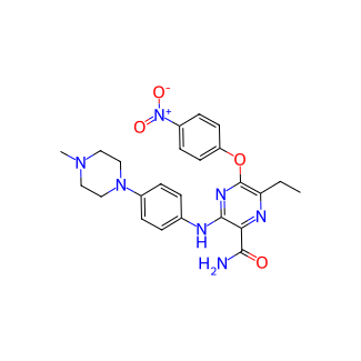 CCc1nc(C(N)=O)c(Nc2ccc(N3CCN(C)CC3)cc2)nc1Oc1ccc([N+](=O)[O-])cc1